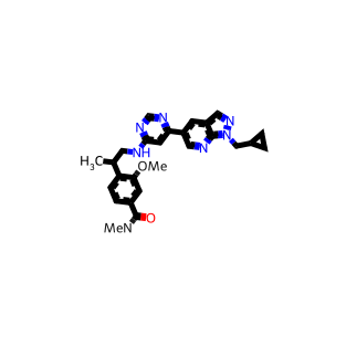 CNC(=O)c1ccc(C(C)CNc2cc(-c3cnc4c(cnn4CC4CC4)c3)ncn2)c(OC)c1